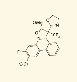 COC(=O)C(C1=NCCO1)(c1nc2cc(F)c([N+](=O)[O-])cc2c2ccccc12)C(F)(F)F